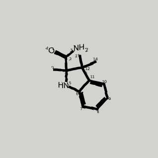 CC1(C(N)=O)Nc2ccccc2C1(C)C